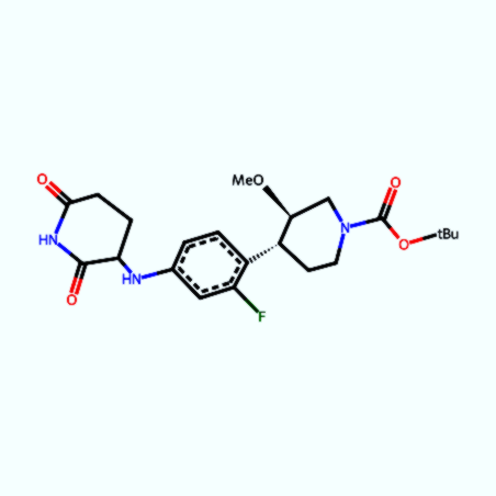 CO[C@H]1CN(C(=O)OC(C)(C)C)CC[C@@H]1c1ccc(NC2CCC(=O)NC2=O)cc1F